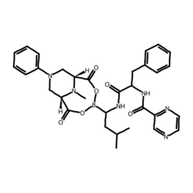 CC(C)CC(NC(=O)C(Cc1ccccc1)NC(=O)c1cnccn1)B1OC(=O)[C@H]2CN(c3ccccc3)C[C@@H](C(=O)O1)N2C